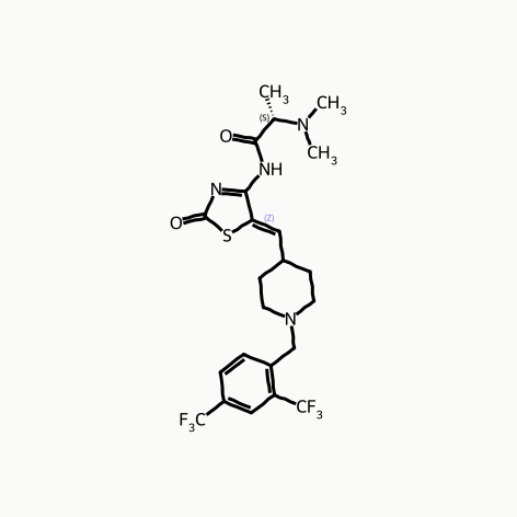 C[C@@H](C(=O)NC1=NC(=O)S/C1=C\C1CCN(Cc2ccc(C(F)(F)F)cc2C(F)(F)F)CC1)N(C)C